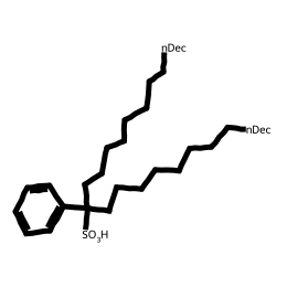 CCCCCCCCCCCCCCCCCCC(CCCCCCCCCCCCCCCCCC)(c1ccccc1)S(=O)(=O)O